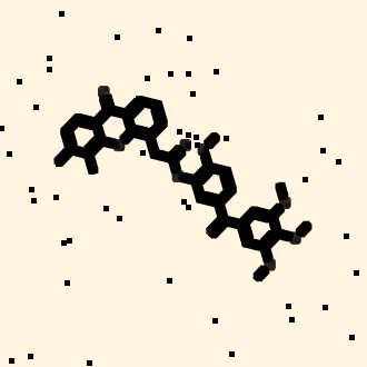 C=C(c1ccc(OC)c(OC(=O)Cc2cccc3c(=O)c4ccc(C)c(C)c4oc23)c1)c1cc(OC)c(OC)c(OC)c1